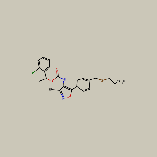 CCc1noc(-c2ccc(CSCCC(=O)O)cc2)c1NC(=O)OC(C)c1ccccc1F